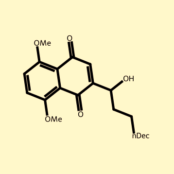 CCCCCCCCCCCCC(O)C1=CC(=O)c2c(OC)ccc(OC)c2C1=O